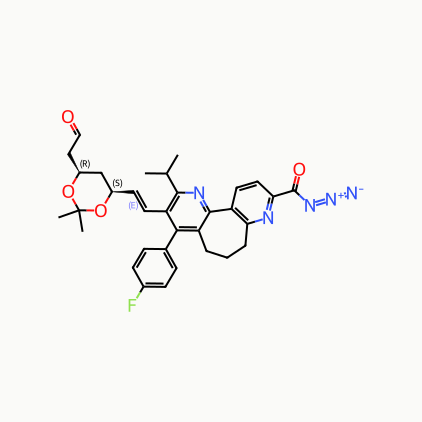 CC(C)c1nc2c(c(-c3ccc(F)cc3)c1/C=C/[C@@H]1C[C@H](CC=O)OC(C)(C)O1)CCCc1nc(C(=O)N=[N+]=[N-])ccc1-2